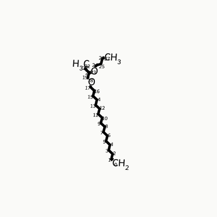 C=CCCCCCCCCCCCCCCCCOCC(CC)OCCCC